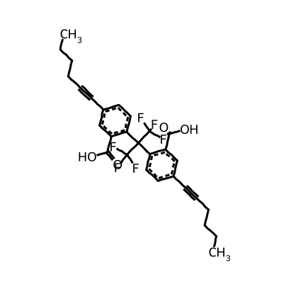 CCCCC#Cc1ccc(C(c2ccc(C#CCCCC)cc2C(=O)O)(C(F)(F)F)C(F)(F)F)c(C(=O)O)c1